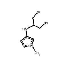 CC(C)CC(CO)Nc1cnn(C)c1